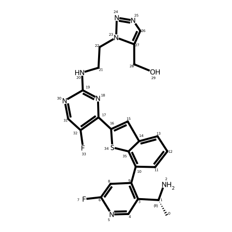 C[C@@H](N)c1cnc(F)cc1-c1cccc2cc(-c3nc(NCCn4nncc4CO)ncc3F)sc12